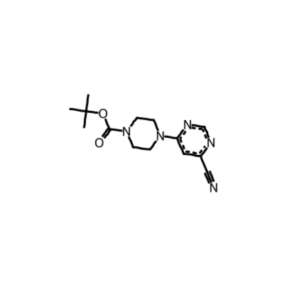 CC(C)(C)OC(=O)N1CCN(c2cc(C#N)ncn2)CC1